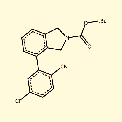 CC(C)(C)OC(=O)N1Cc2cccc(-c3cc(Cl)ccc3C#N)c2C1